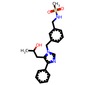 CC(O)Cc1c(-c2ccccc2)ncn1Cc1cccc(CNS(C)(=O)=O)c1